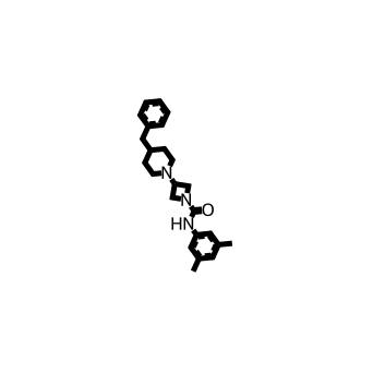 Cc1cc(C)cc(NC(=O)N2CC(N3CCC(Cc4ccccc4)CC3)C2)c1